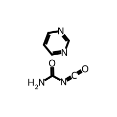 NC(=O)N=C=O.c1cncnc1